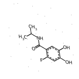 CC(C)NC(=O)c1cc(O)c(O)cc1F